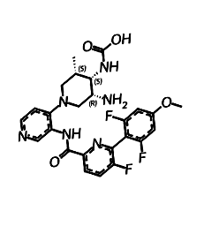 COc1cc(F)c(-c2nc(C(=O)Nc3cnccc3N3C[C@@H](N)[C@@H](NC(=O)O)[C@@H](C)C3)ccc2F)c(F)c1